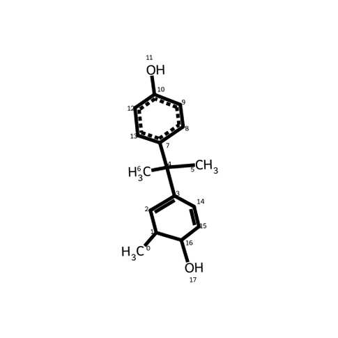 CC1C=C(C(C)(C)c2ccc(O)cc2)C=CC1O